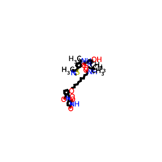 Cc1ncsc1-c1ccc([C@H](C)NC(=O)[C@@H]2C[C@@H](O)CN2C(=O)C(NC(=O)CCCCCCCCCCOc2cccc3c2C(=O)N(C2CCC(=O)NC2=O)C3=O)C(C)(C)C)cc1